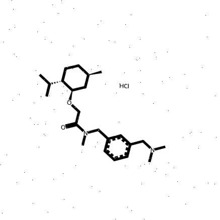 CC(C)[C@@H]1CC[C@@H](C)C[C@H]1OCC(=O)N(C)Cc1cccc(CN(C)C)c1.Cl